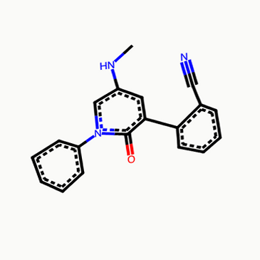 CNc1cc(-c2ccccc2C#N)c(=O)n(-c2ccccc2)c1